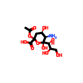 CC(=O)O[C@@]1(C(=O)O)C[C@H](O)[C@@H](N)[C@](O)([C@H](O)[C@H](O)CO)O1